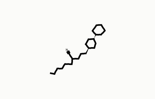 CCCCCCC(C#N)CCC[C@H]1CC[C@H](C2CCCCC2)CC1